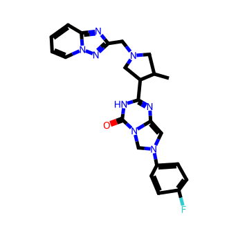 CC1CN(Cc2nc3ccccn3n2)CC1C1=NC2=CN(c3ccc(F)cc3)CN2C(=O)N1